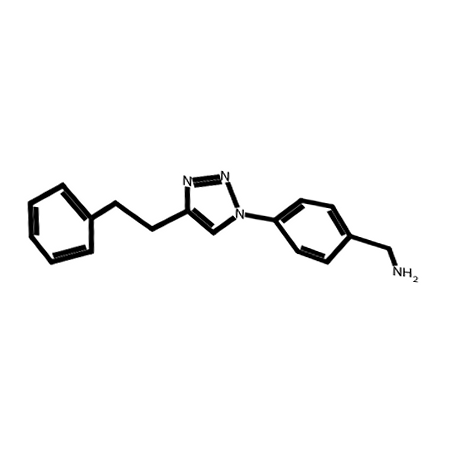 NCc1ccc(-n2cc(CCc3ccccc3)nn2)cc1